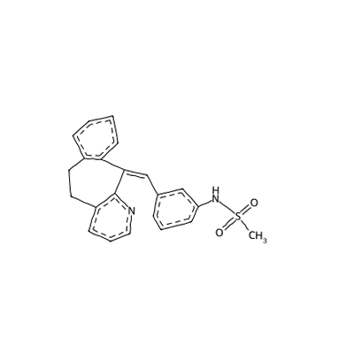 CS(=O)(=O)Nc1cccc(/C=C2/c3ccccc3CCc3cccnc32)c1